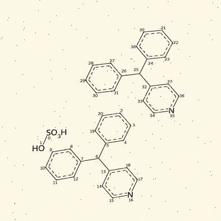 O=S(=O)(O)O.c1ccc(C(c2ccccc2)c2ccncc2)cc1.c1ccc(C(c2ccccc2)c2ccncc2)cc1